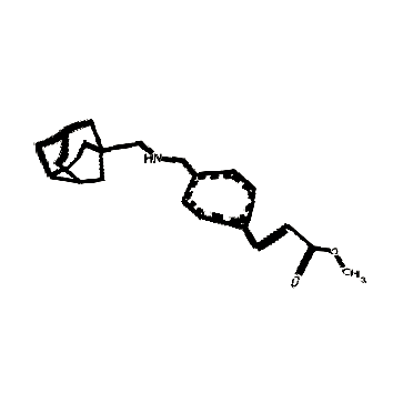 COC(=O)/C=C/c1ccc(CNCC23CC4CC(C2)C(C4)C3)cc1